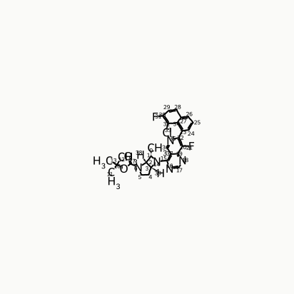 C[C@H]1[C@@H]2[C@@H](CCN2C(=O)OC(C)(C)C)N1c1ncnc2c(F)c(-c3cccc4ccc(F)c(Cl)c34)ncc12